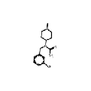 CN1CCC(N(Cc2cccc(O)c2)C(N)=O)CC1